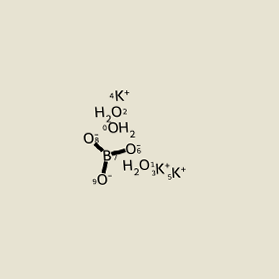 O.O.O.[K+].[K+].[K+].[O-]B([O-])[O-]